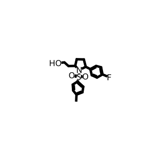 Cc1ccc(S(=O)(=O)N2C(CCO)CCC2c2ccc(F)cc2)cc1